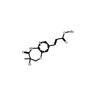 CCC1(C)COc2cc(/C=C/C(=O)OC(C)(C)C)cnc2NC1=O